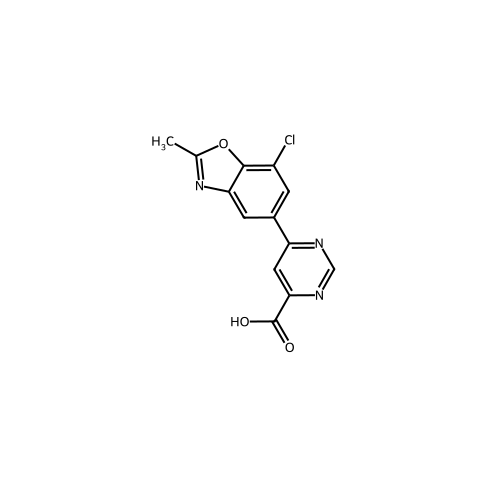 Cc1nc2cc(-c3cc(C(=O)O)ncn3)cc(Cl)c2o1